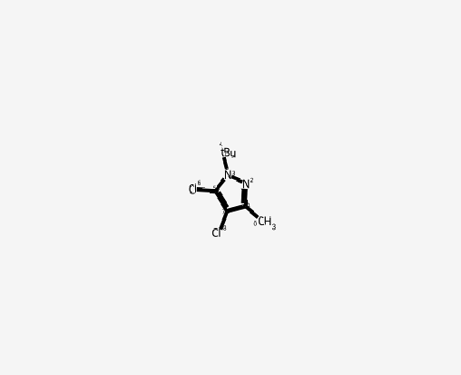 Cc1nn(C(C)(C)C)c(Cl)c1Cl